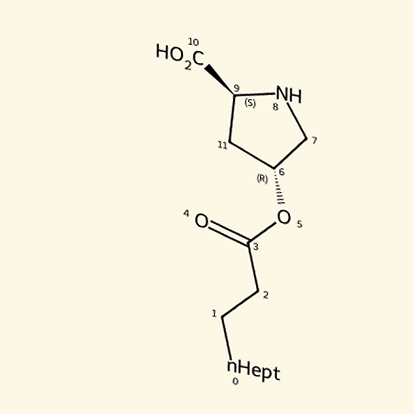 CCCCCCCCCC(=O)O[C@H]1CN[C@H](C(=O)O)C1